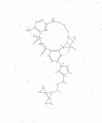 CC1(C)C[C@@H]2CCCNc3ccc(O)c(n3)S(=O)(=O)NC(=O)c3ccc(-n4ccc(OCCC5C6(CC6)C56CC6)n4)nc3N1C2